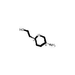 N[C@@H]1CC[C@@H](CCO)OC1